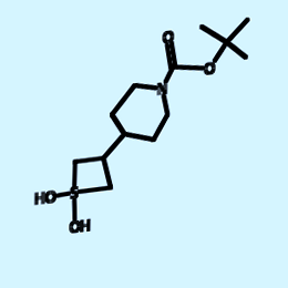 CC(C)(C)OC(=O)N1CCC(C2CS(O)(O)C2)CC1